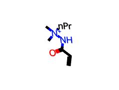 C=CC(=O)N[N+](C)(C)CCC